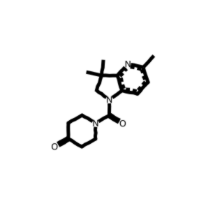 Cc1ccc2c(n1)C(C)(C)CN2C(=O)N1CCC(=O)CC1